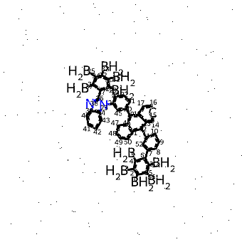 Bc1c(B)c(B)c(-c2cccc(-c3c4ccccc4c(-c4cccc(-n5c(-c6c(B)c(B)c(B)c(B)c6B)nc6ccccc65)c4)c4ccccc34)c2)c(B)c1B